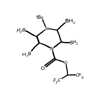 BC1C(B)N(C(C)(C)C)C(B)C(B)N1C(=O)OC(C(F)(F)F)C(F)(F)F